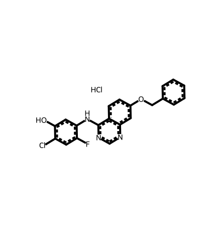 Cl.Oc1cc(Nc2ncnc3cc(OCc4ccccc4)ccc23)c(F)cc1Cl